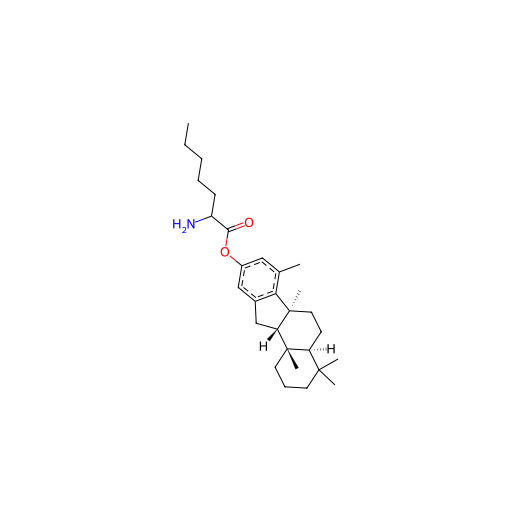 CCCCCC(N)C(=O)Oc1cc(C)c2c(c1)C[C@H]1[C@@]3(C)CCCC(C)(C)[C@@H]3CC[C@]21C